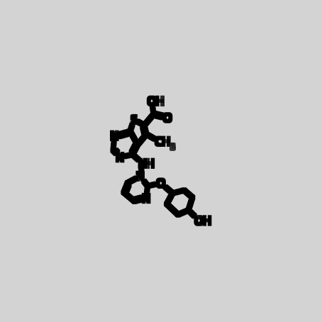 Cc1c(C(=O)O)sc2ncnc(NN3C=CC=NC3OC3CCC(O)CC3)c12